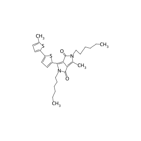 CCCCCCN1C(=O)C2=C(c3ccc(-c4ccc(C)s4)s3)N(CCCCCC)C(=O)C2=C1C